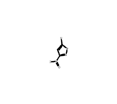 O=[N+]([O-])C1=N[N]C(Cl)=C1